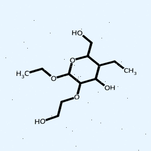 CCOC1OC(CO)C(CC)C(O)C1OCCO